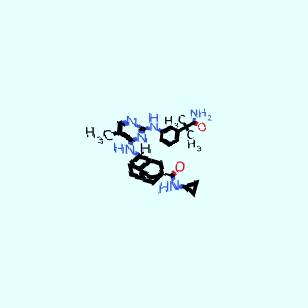 Cc1cnc(Nc2cccc(C(C)(C)C(N)=O)c2)nc1N[C@H]1C2CC3CC1C[C@@](C(=O)NC1CC1)(C3)C2